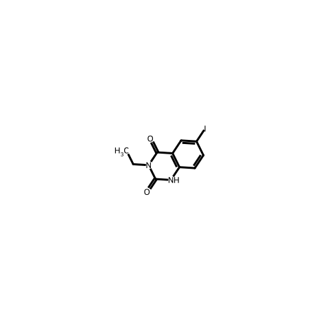 CCn1c(=O)[nH]c2ccc(I)cc2c1=O